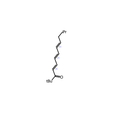 CC(C)C/C=C/C=C/C=C/C(=O)C(C)(C)C